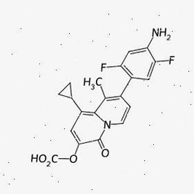 Cc1c(-c2cc(F)c(N)cc2F)ccn2c(=O)c(OC(=O)O)cc(C3CC3)c12